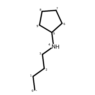 [CH2]CCCNC1CCCC1